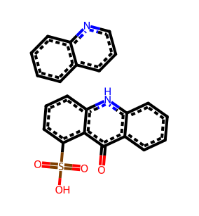 O=c1c2ccccc2[nH]c2cccc(S(=O)(=O)O)c12.c1ccc2ncccc2c1